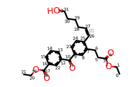 CCOC(=O)CCc1cc(C(=O)c2cccc(C(=O)OCC)c2)ccc1/C=C\CCCCO